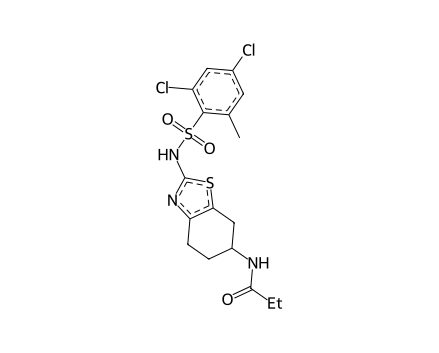 CCC(=O)NC1CCc2nc(NS(=O)(=O)c3c(C)cc(Cl)cc3Cl)sc2C1